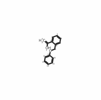 C=C(O)c1ccccc1COc1ccccc1